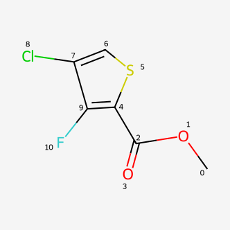 COC(=O)c1scc(Cl)c1F